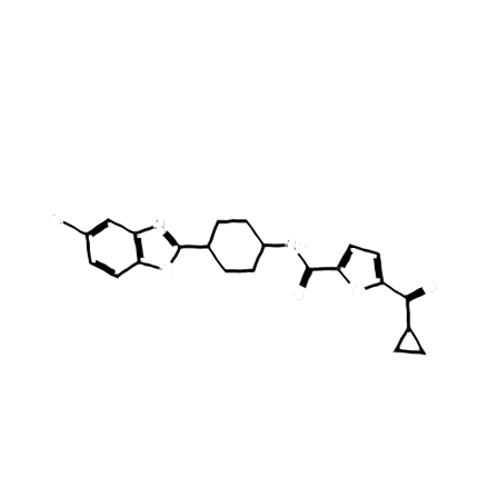 O=C(NC1CCC(c2nc3cc(Cl)ccc3o2)CC1)c1ccc(C(=O)C2CC2)o1